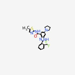 Cc1cnc(NC(=O)c2cc(N3CCCC3)cc3[nH]c(-c4ccccc4C(F)F)nc23)s1